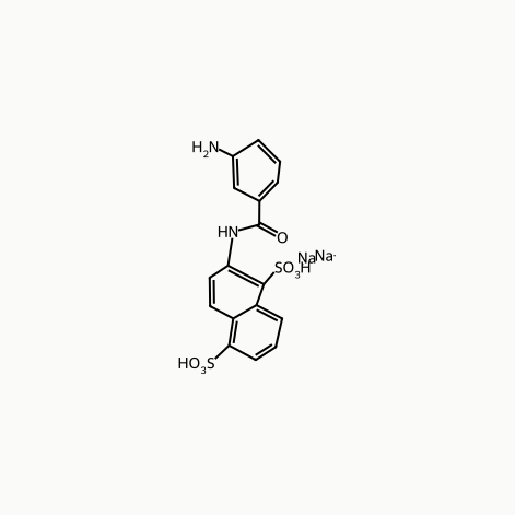 Nc1cccc(C(=O)Nc2ccc3c(S(=O)(=O)O)cccc3c2S(=O)(=O)O)c1.[Na].[Na]